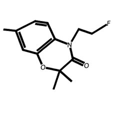 Cc1ccc2c(c1)OC(C)(C)C(=O)N2CCF